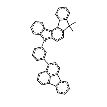 CC1(C)c2ccccc2-c2c1ccc1c2c2ccccc2n1-c1cccc(-c2ccc3c4c(cccc24)-c2ccccc2-3)c1